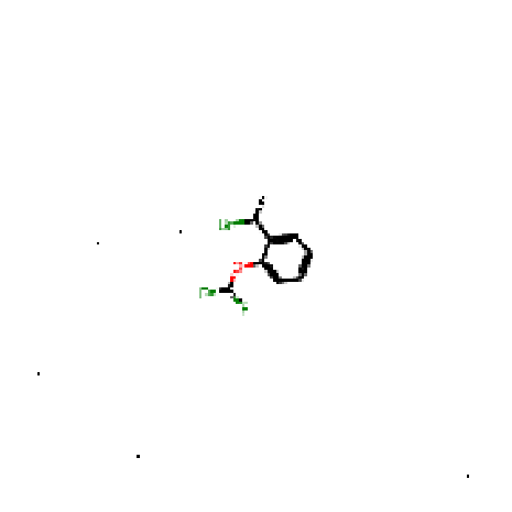 CC(Br)c1ccccc1OC(F)F